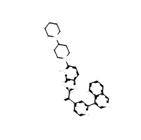 O=C(c1ccnc(-c2cncc3ccccc23)c1)c1nc2ccc(N3CCC(N4CCCCC4)CC3)nc2[nH]1